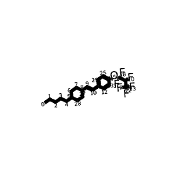 CCCCCC1CCC(C=Cc2ccc(OC(F)(F)C(F)C(F)(F)F)cc2)CC1